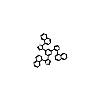 c1ccc2c(-c3sccc3-c3cc(-c4ccsc4-c4cccc5ccccc45)cc(-c4ccsc4-c4cccc5ccccc45)c3)cccc2c1